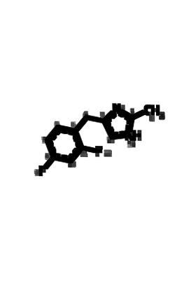 Cc1nc(Cc2ccc(F)cc2F)c[nH]1